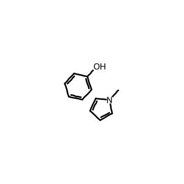 Cn1cccc1.Oc1ccccc1